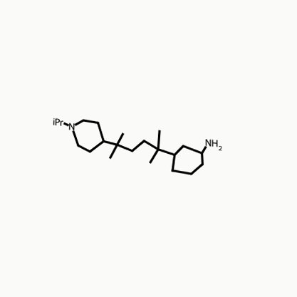 CC(C)N1CCC(C(C)(C)CCC(C)(C)C2CCCC(N)C2)CC1